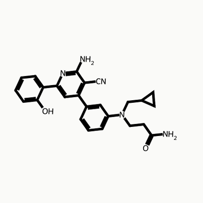 N#Cc1c(-c2cccc(N(CCC(N)=O)CC3CC3)c2)cc(-c2ccccc2O)nc1N